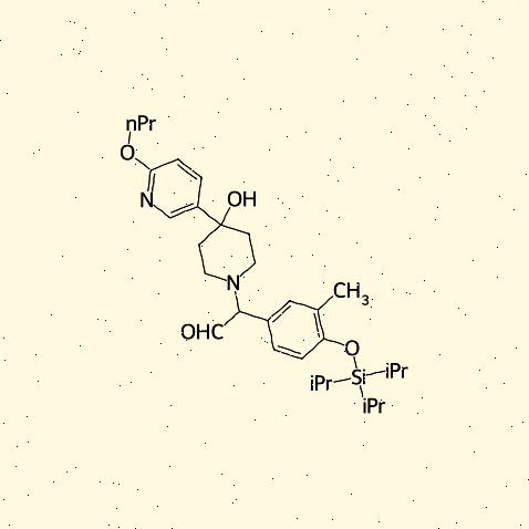 CCCOc1ccc(C2(O)CCN(C(C=O)c3ccc(O[Si](C(C)C)(C(C)C)C(C)C)c(C)c3)CC2)cn1